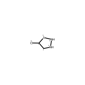 ClC1CNNS1